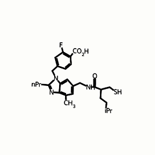 CCCc1nc2c(C)cc(CNC(=O)C(CS)CCC(C)C)cc2n1Cc1ccc(C(=O)O)c(F)c1